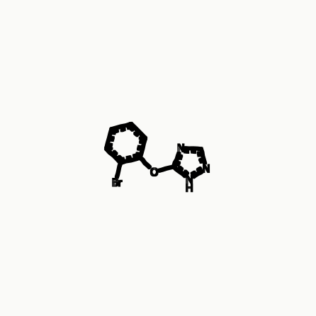 Brc1ccccc1Oc1ncn[nH]1